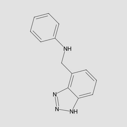 c1ccc(NCc2cccc3[nH]nnc23)cc1